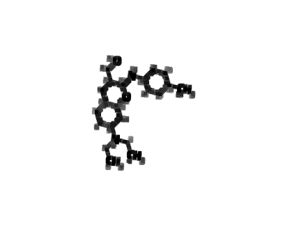 CCN(CC)c1ccc2cc(C=O)c(=Nc3ccc(C)cc3)oc2c1